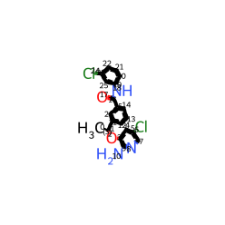 C[C@H](Oc1cc(Cl)cnc1N)c1cccc(C(=O)Nc2cccc(Cl)c2)c1